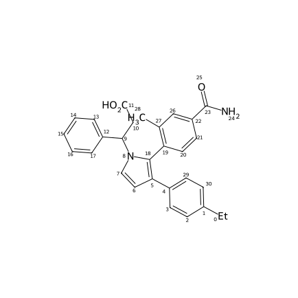 CCc1ccc(-c2ccn(C(CC(=O)O)c3ccccc3)c2-c2ccc(C(N)=O)cc2C)cc1